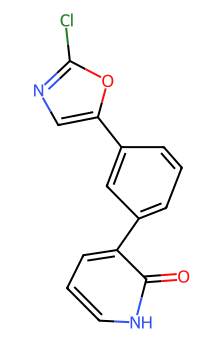 O=c1[nH]cccc1-c1cccc(-c2cnc(Cl)o2)c1